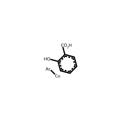 C[C](=O)[Cu].O=C(O)c1ccccc1O